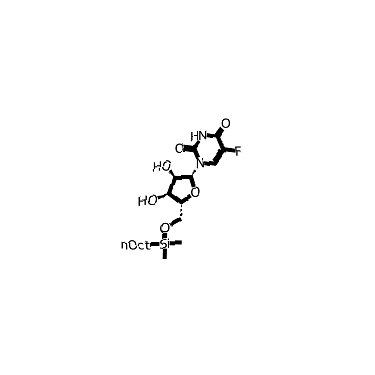 CCCCCCCC[Si](C)(C)OC[C@H]1O[C@@H](n2cc(F)c(=O)[nH]c2=O)[C@H](O)[C@@H]1O